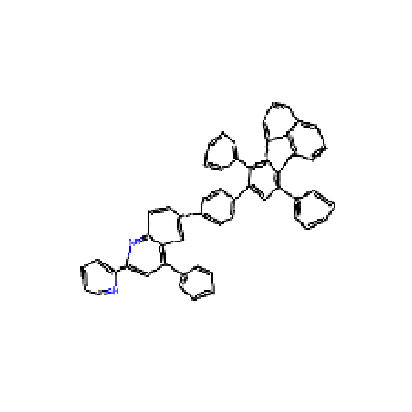 c1ccc(-c2cc(-c3ccc(-c4ccc5nc(-c6ccccn6)cc(-c6ccccc6)c5c4)cc3)c(-c3ccccc3)c3c2-c2cccc4cccc-3c24)cc1